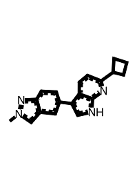 Cn1cc2cc(-c3c[nH]c4nc(C5CCC5)ccc34)ccc2n1